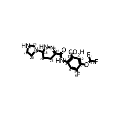 O=C(Nc1cc(F)c(OC(F)F)cc1C(=O)O)C1=NNC(N2CCNC2)CC1